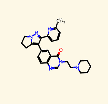 Cc1cccc(-c2nn3c(c2-c2ccc4ncn(CCN5CCCCC5)c(=O)c4c2)CCC3)n1